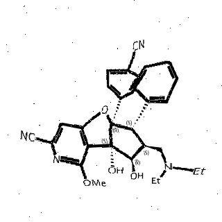 CCN(CC)C[C@H]1[C@@H](O)[C@@]2(O)c3c(cc(C#N)nc3OC)O[C@@]2(c2ccc(C#N)cc2)[C@@H]1c1ccccc1